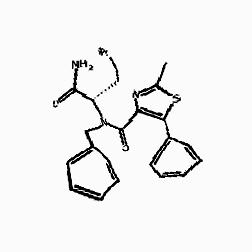 Cc1nc(C(=O)N(Cc2ccccc2)[C@@H](CC(C)C)C(N)=O)c(-c2ccccc2)s1